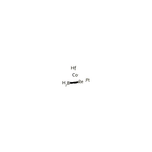 [BH2][Re].[Co].[Hf].[Pt]